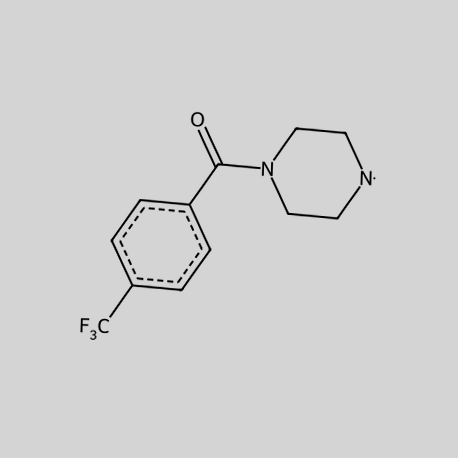 O=C(c1ccc(C(F)(F)F)cc1)N1CC[N]CC1